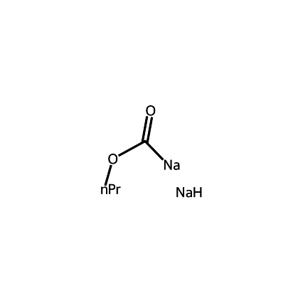 CCCO[C](=O)[Na].[NaH]